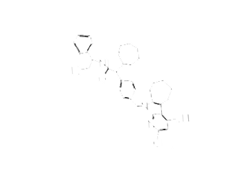 Cc1cc(C)c2c3c(n(Cc4ccc(C(C(=O)NC(CO)c5ccccc5)C5CCCCCC5)cc4)c2n1)CCCCC3